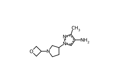 Cc1nn(C2CCN(C3COC3)C2)cc1N